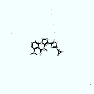 CN(C)c1cccc2c1c(=O)n(C)c1c(-c3noc(C4CC4)n3)ncn21